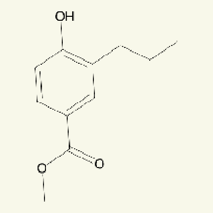 CCCc1cc(C(=O)OC)ccc1O